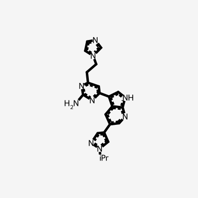 CC(C)n1cc(-c2cnc3[nH]cc(-c4cc(CCn5ccnc5)nc(N)n4)c3c2)cn1